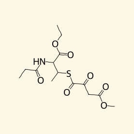 CCOC(=O)C(NC(=O)CC)C(C)SC(=O)C(=O)CC(=O)OC